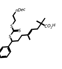 CCCCCCCCCCCCSC(=S)SC(CC/C(C)=C/CC(C)(C)C(=O)O)c1ccccc1